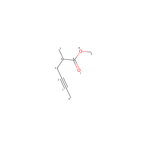 CC#CCC(C)C(=O)OC